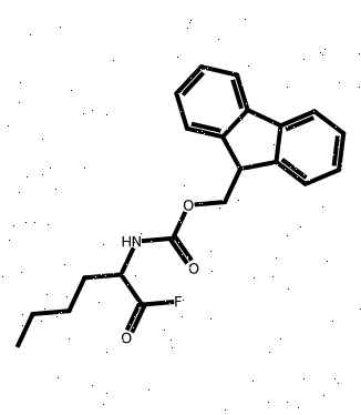 CCCCC(NC(=O)OCC1c2ccccc2-c2ccccc21)C(=O)F